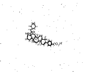 CC1(C)C(c2ccc(C(=O)O)cc2)=CC[C@@]2(C)C1CC[C@]1(C)C2CC[C@@H]2C3CCC[C@]3(NC(=O)CN3CCSCC3)CC[C@]21C